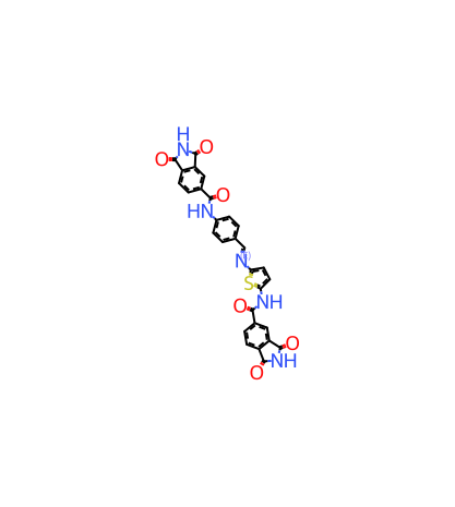 O=C(Nc1ccc(/C=N/c2ccc(NC(=O)c3ccc4c(c3)C(=O)NC4=O)s2)cc1)c1ccc2c(c1)C(=O)NC2=O